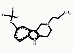 CCCN1CCc2[nH]c3ccc(OC(F)(F)F)cc3c2C1